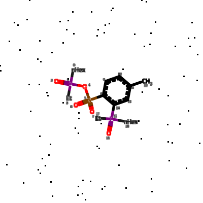 CCCCCCP(=O)(CC)OS(=O)(=O)c1ccc(C)cc1P(=O)(CC)CCCCCC